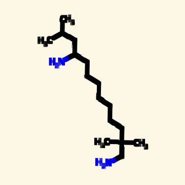 CC(C)CC(N)CCCCCCCC(C)(C)CN